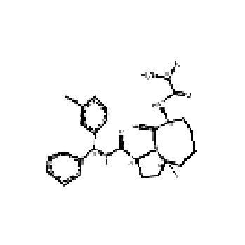 CC[C@H](N)C(=O)N[C@H]1CCCC[C@H]2CC[C@@H](C(=O)N[C@@H](c3ccccc3)c3cccc(C)c3)N2C1=O